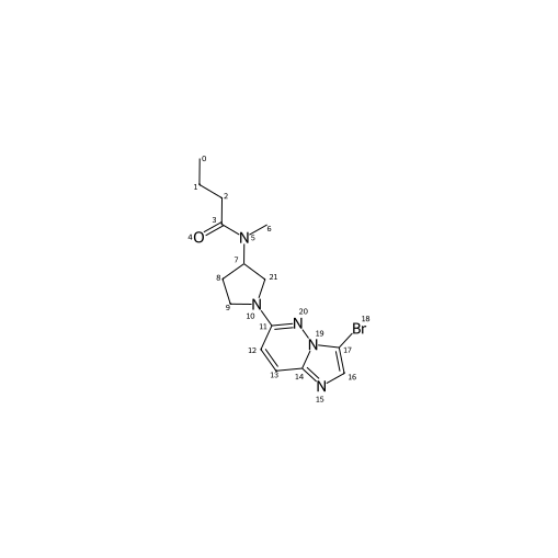 CCCC(=O)N(C)C1CCN(c2ccc3ncc(Br)n3n2)C1